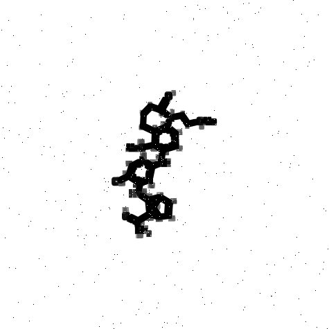 COCCN1C(=O)CCCc2c1ccc(Nc1ncc(Cl)c(NC3C4C=CC(C4)C3C(N)=O)n1)c2OC